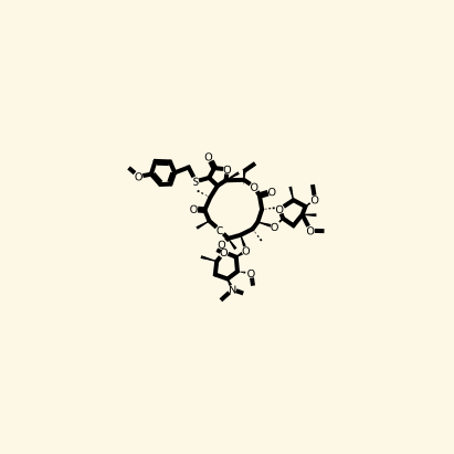 CC[C@H]1OC(=O)[C@H](C)[C@@H](O[C@H]2C[C@@](C)(OC)[C@@H](OC)[C@H](C)O2)[C@H](C)[C@@H](O[C@@H]2O[C@H](C)C[C@H](N(C)C)[C@H]2OC)[C@](C)(OC)C[C@@H](C)C(=O)[C@H](C)C2C(SCc3ccc(OC)cc3)C(=O)O[C@@]21C